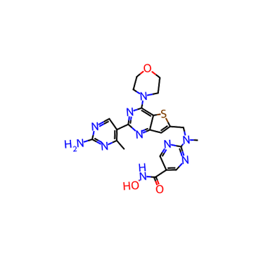 Cc1nc(N)ncc1-c1nc(N2CCOCC2)c2sc(CN(C)c3ncc(C(=O)NO)cn3)cc2n1